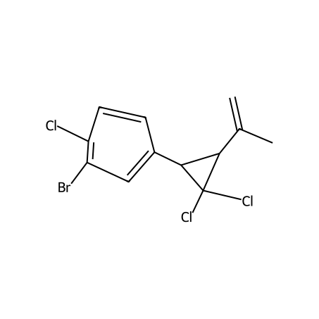 C=C(C)C1C(c2ccc(Cl)c(Br)c2)C1(Cl)Cl